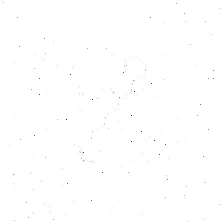 Br.Br.N[C@@H](Cc1ccccc1)C(=O)NCCc1c[nH]cn1